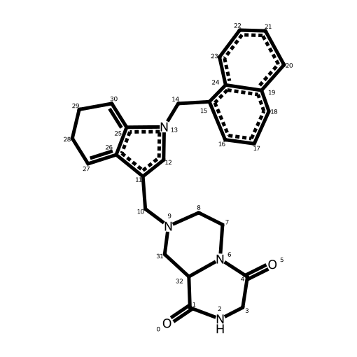 O=C1NCC(=O)N2CCN(Cc3cn(Cc4cccc5ccccc45)c4c3=CCCC=4)CC12